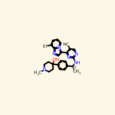 CCc1cccn2c(-c3nc(N[C@@H](C)c4ccc(C5(O)CCN(C)CC5)cc4)ncc3C#N)cnc12